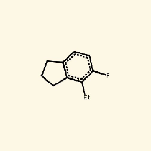 CCc1c(F)ccc2c1CCC2